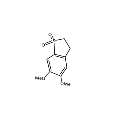 COc1cc2c(cc1OC)S(=O)(=O)CC2